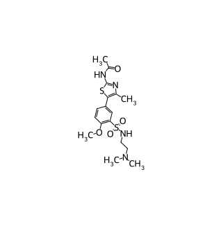 COc1ccc(-c2sc(NC(C)=O)nc2C)cc1S(=O)(=O)NCCN(C)C